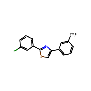 O=C(O)c1cccc(-c2csc(-c3cccc(F)c3)n2)c1